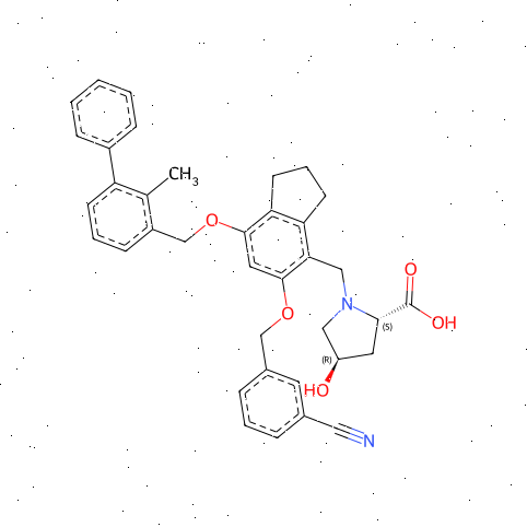 Cc1c(COc2cc(OCc3cccc(C#N)c3)c(CN3C[C@H](O)C[C@H]3C(=O)O)c3c2CCC3)cccc1-c1ccccc1